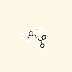 Cl.O=C(O)[C@@H]1CCCN(CCOC=C(c2ccc(F)cc2F)c2ccc(F)cc2F)C1